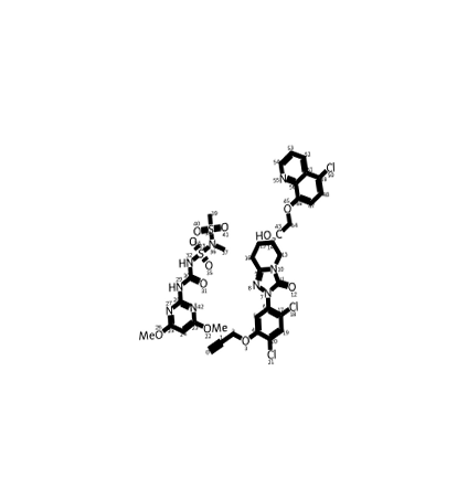 C#CCOc1cc(-n2nc3n(c2=O)CCCC3)c(Cl)cc1Cl.COc1cc(OC)nc(NC(=O)NS(=O)(=O)N(C)S(C)(=O)=O)n1.O=C(O)COc1ccc(Cl)c2cccnc12